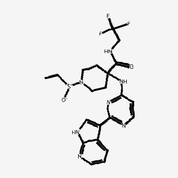 CC[S+]([O-])N1CCC(Nc2ccnc(-c3c[nH]c4ncccc34)n2)(C(=O)NCC(F)(F)F)CC1